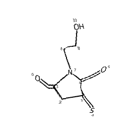 O=C1CC(=S)C(=O)N1CCO